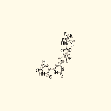 Cc1nc(-c2c[nH]c(=O)[nH]c2=O)cc(N2C[C@H](OC(=O)NC3(C(F)(F)F)CC3)C(F)(F)C2)n1